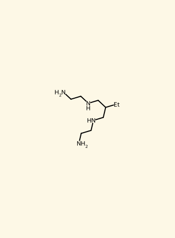 CCC(CNCCN)CNCCN